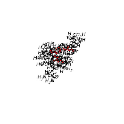 CC[C@H](C)[C@H](NC(=O)[C@H](CC(C)C)NC(=O)[C@H](CC(C)C)NC(=O)[C@H](CO)NC(=O)[C@@H]1CCCN1C(=O)[C@H](CCCNC(=N)N)NC(=O)[C@H](CCC(N)=O)NC(=O)CN)C(=O)N[C@@H](Cc1ccc(O)cc1)C(=O)N[C@@H](CC(=O)O)C(=O)N[C@@H](C)C(=O)N[C@@H](CO)C(=O)N[C@H](C(=O)N[C@@H](CC(C)C)C(=O)N[C@@H](C)C(=O)N[C@@H](CO)C(=O)NCC(=O)N[C@H](C(=O)N[C@@H](CO)C(=O)N[C@@H](CO)C(=O)O)C(C)C)[C@@H](C)O